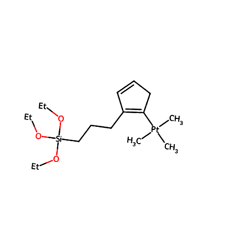 CCO[Si](CCCC1=[C]([Pt]([CH3])([CH3])[CH3])CC=C1)(OCC)OCC